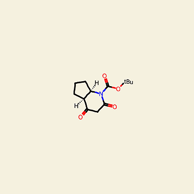 CC(C)(C)OC(=O)N1C(=O)CC(=O)[C@H]2CCC[C@H]21